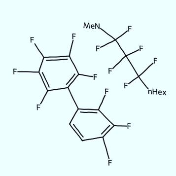 CCCCCCC(F)(F)C(F)(F)C(F)(F)NC.Fc1ccc(-c2c(F)c(F)c(F)c(F)c2F)c(F)c1F